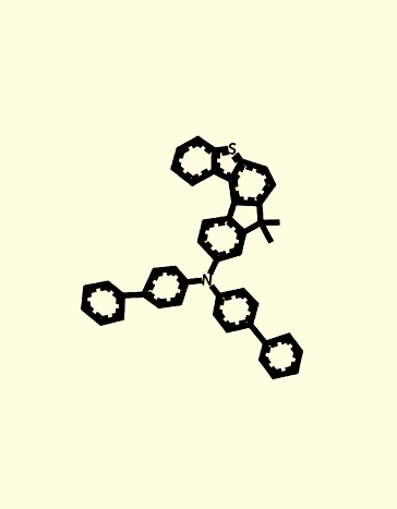 CC1(C)c2cc(N(c3ccc(-c4ccccc4)cc3)c3ccc(-c4ccccc4)cc3)ccc2-c2c1ccc1sc3ccccc3c21